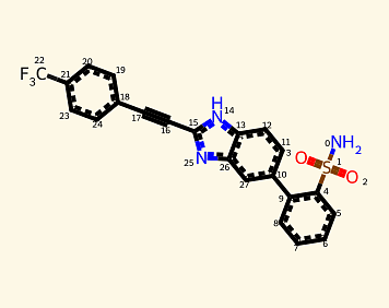 NS(=O)(=O)c1ccccc1-c1ccc2[nH]c(C#Cc3ccc(C(F)(F)F)cc3)nc2c1